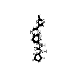 Cc1nc(-c2cnc3ccc(NC(=O)NC4CCCC4)nc3n2)cs1